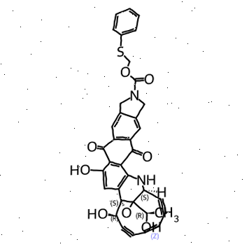 C[C@@H](O)C12O[C@]13c1cc(O)c4c(c1N[C@H]2C#C/C=C\C#C[C@H]3O)C(=O)c1cc2c(cc1C4=O)CN(C(=O)OCSc1ccccc1)C2